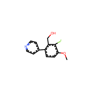 COc1ccc(-c2ccncc2)c(CO)c1F